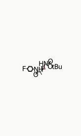 CC(C(=O)Nc1ccc(F)cc1)C12CC(NC(=O)OC(C)(C)C)(C1)C2